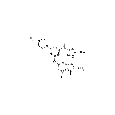 Cc1cc2cc(Oc3nc(Nc4cc(C(C)(C)C)on4)cc(N4CCN(C)CC4)n3)cc(F)c2[nH]1